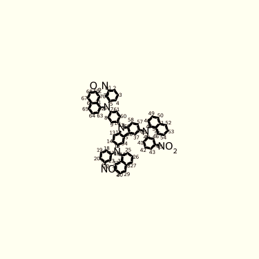 O=[N+]([O-])c1cccc(N(c2ccc(-n3c4ccc(N(c5cccc([N+](=O)[O-])c5)c5cccc6ccccc56)cc4c4cc(N(c5cccc([N+](=O)[O-])c5)c5cccc6ccccc56)ccc43)cc2)c2cccc3ccccc23)c1